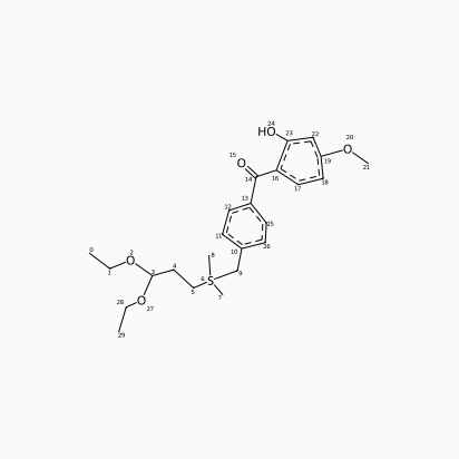 CCOC(CCS(C)(C)Cc1ccc(C(=O)c2ccc(OC)cc2O)cc1)OCC